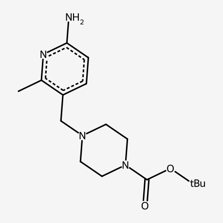 Cc1nc(N)ccc1CN1CCN(C(=O)OC(C)(C)C)CC1